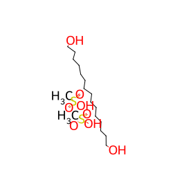 CS(=O)(=O)O.CS(=O)(=O)O.OCCCCCCCCCCCCCCCO